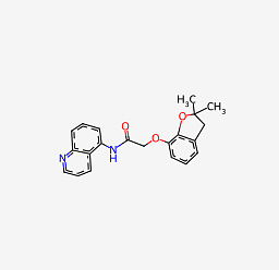 CC1(C)Cc2cccc(OCC(=O)Nc3cccc4ncccc34)c2O1